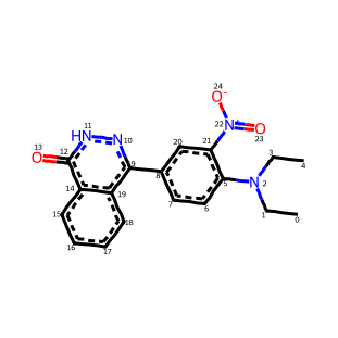 CCN(CC)c1ccc(-c2n[nH]c(=O)c3ccccc23)cc1[N+](=O)[O-]